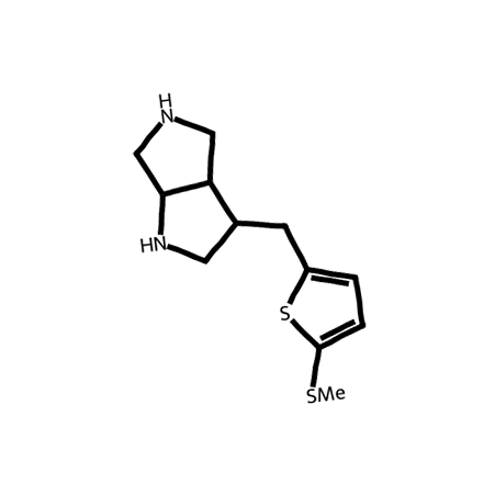 CSc1ccc(CC2CNC3CNCC23)s1